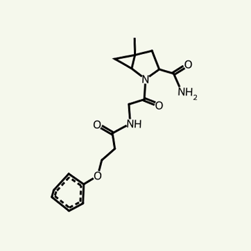 CC12CC(C(N)=O)N(C(=O)CNC(=O)CCOc3ccccc3)C1C2